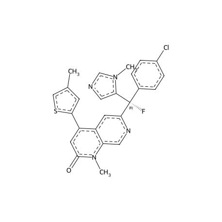 Cc1csc(-c2cc(=O)n(C)c3cnc([C@](F)(c4ccc(Cl)cc4)c4cncn4C)cc23)c1